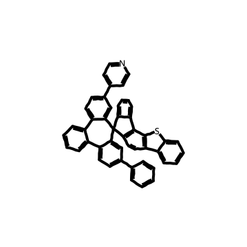 c1ccc(-c2ccc3c(c2)C2(c4cc(-c5ccncc5)ccc4-c4ccccc4-3)c3ccccc3-c3c2ccc2c3sc3ccccc32)cc1